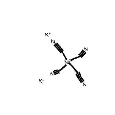 N#[C][Ni-2]([C]#N)([C]#N)[C]#N.[K+].[K+]